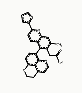 Cc1cc2nc(-c3cccs3)ccc2c(-c2ccc3c4c(ccnc24)CCO3)c1CC(=O)O